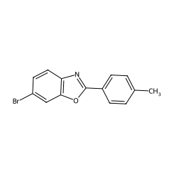 Cc1ccc(-c2nc3ccc(Br)cc3o2)cc1